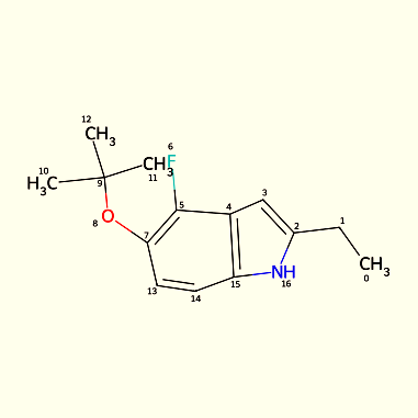 CCc1cc2c(F)c(OC(C)(C)C)ccc2[nH]1